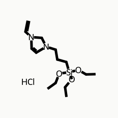 C=CN1C=CN(CCC[Si](OCC)(OCC)OCC)C1.Cl